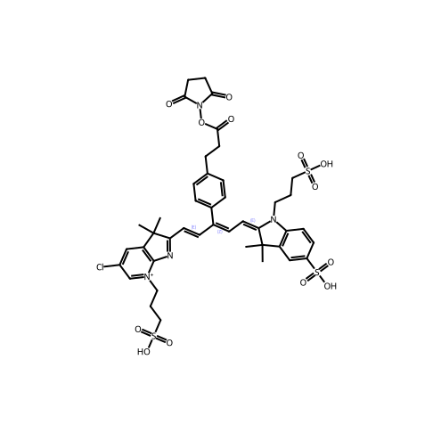 CC1(C)C(/C=C/C(=C/C=C2/N(CCCS(=O)(=O)O)c3ccc(S(=O)(=O)O)cc3C2(C)C)c2ccc(CCC(=O)ON3C(=O)CCC3=O)cc2)=Nc2c1cc(Cl)c[n+]2CCCS(=O)(=O)O